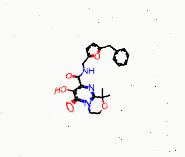 CC1(C)OCCn2c1nc(C(=O)NCc1ccc(Cc3ccccc3)o1)c(O)c2=O